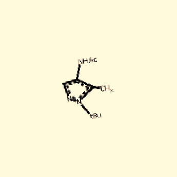 CC(=O)Nc1cnn(C(C)(C)C)c1C